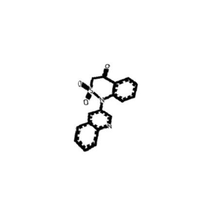 O=C1CS(=O)(=O)N(c2cnc3ccccc3c2)c2ccccc21